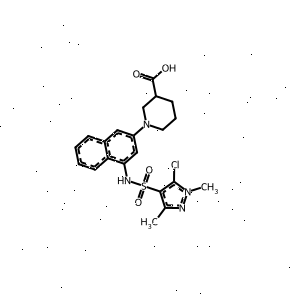 Cc1nn(C)c(Cl)c1S(=O)(=O)Nc1cc(N2CCCC(C(=O)O)C2)cc2ccccc12